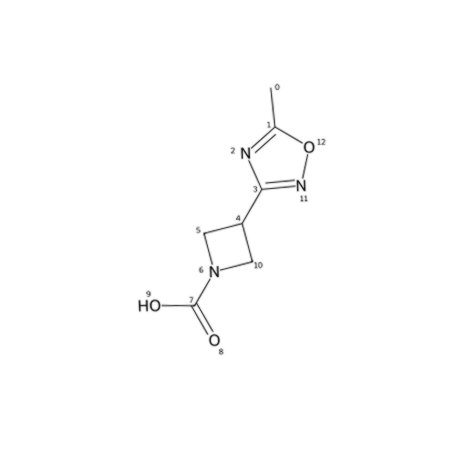 Cc1nc(C2CN(C(=O)O)C2)no1